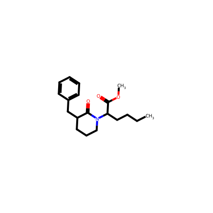 CCCCC(C(=O)OC)N1CCCC(Cc2ccccc2)C1=O